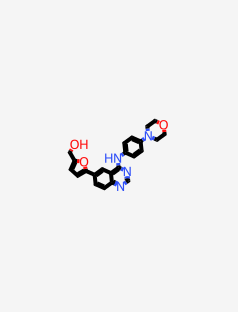 OCc1ccc(-c2ccc3ncnc(Nc4ccc(N5CCOCC5)cc4)c3c2)o1